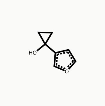 OC1(c2ccoc2)CC1